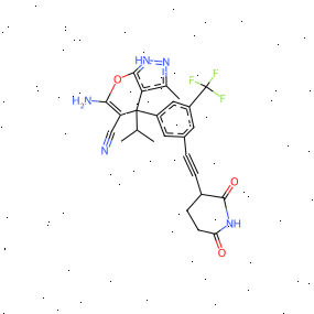 Cc1n[nH]c2c1C(c1cc(C#CC3CCC(=O)NC3=O)cc(C(F)(F)F)c1)(C(C)C)C(C#N)=C(N)O2